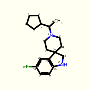 CC(C1CCCC1)N1CCC2(CC1)CNc1ccc(F)cc12